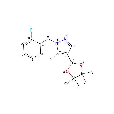 Cc1c(B2OC(C)(C)C(C)(C)O2)cnn1Cc1ccccc1F